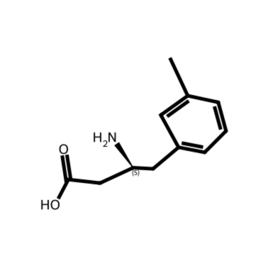 Cc1cccc(C[C@H](N)CC(=O)O)c1